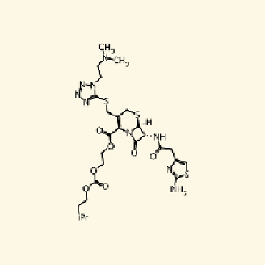 CC(C)CCOC(=O)OCCOC(=O)C1=C(CSc2nnnn2CCN(C)C)CS[C@H]2[C@H](NC(=O)Cc3csc(N)n3)C(=O)N12